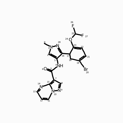 Cn1cc(NC(=O)c2cnn3cccnc23)c(C2CC(Br)=CC=C2OC(F)F)n1